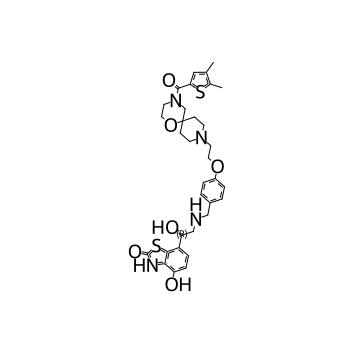 Cc1cc(C(=O)N2CCOC3(CCN(CCOc4ccc(CNC[C@H](O)c5ccc(O)c6[nH]c(=O)sc56)cc4)CC3)C2)sc1C